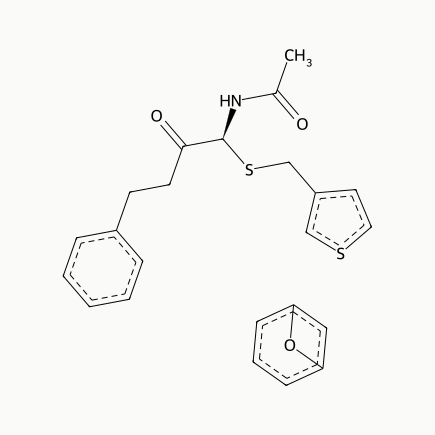 CC(=O)N[C@@H](SCc1ccsc1)C(=O)CCc1ccccc1.c1cc2cc(c1)O2